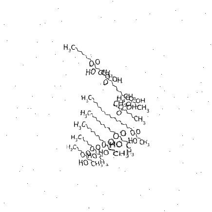 CCC(O)C(=O)OC.CCCCC(O)C(=O)OCC.CCCCCCC(O)C(=O)OCC.CCCCCCCCCCCCCCCCCCOC(=O)C(O)CC.CCCCCCCCCCCCOC(=O)C(O)CC.CCCCCCCCCCOC(=O)C(O)CC.CCCCCCCCOC(=O)C(O)CC.CCCCCCOC(=O)C(O)CC.CCCCOC(=O)C(O)CC